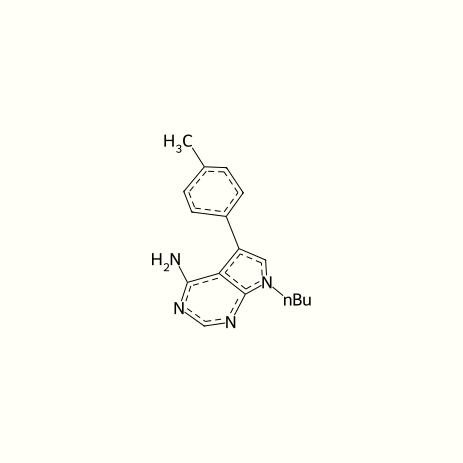 CCCCn1cc(-c2ccc(C)cc2)c2c(N)ncnc21